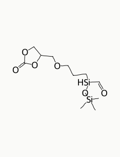 C[Si](C)(C)O[SiH](C=O)CCCOCC1COC(=O)O1